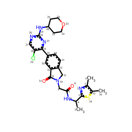 Cc1nc(C(C)NC(=O)CN2Cc3ccc(-c4nc(NC5CCOCC5)ncc4Cl)cc3C2=O)sc1C